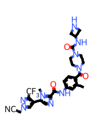 Cc1cc(NC(=O)c2ncc(-c3cn(CC#N)nc3C(F)(F)F)n2C)ccc1C(=O)N1CCN(C(=O)NC2CNC2)CC1